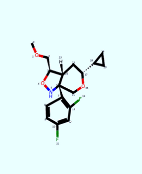 COC[C@@H]1ON[C@@]2(c3ccc(F)cc3F)CO[C@@H](C3CC3)C[C@@H]12